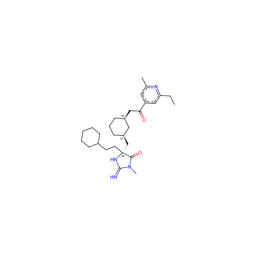 CCc1cc(C(=O)C[C@@H]2CCC[C@H](C[C@@]3(CCC4CCCCC4)NC(=N)N(C)C3=O)C2)cc(C)n1